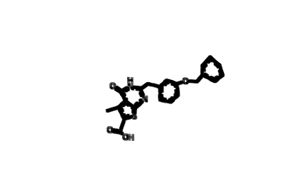 Cc1c(C(=O)O)sc2nc(Cc3cccc(OCc4ccccc4)c3)[nH]c(=O)c12